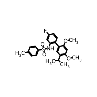 COc1cc(OC)c(C(C)C)cc1-c1ccc(F)cc1NS(=O)(=O)c1ccc(C)cc1